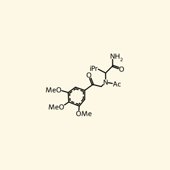 COc1cc(C(=O)CN(C(C)=O)C(C(N)=O)C(C)C)cc(OC)c1OC